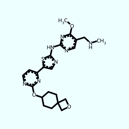 CNCc1cnc(Nc2ncc(-c3ccnc(OC4CCC5(CC4)COC5)n3)s2)nc1OC